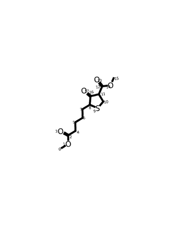 COC(=O)CCCCC1SCC(C(=O)OC)C1=O